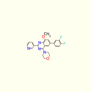 COc1cc(-c2ccc(F)c(F)c2)cc2c(N3CCOCC3)nc(-c3cccnc3)nc12